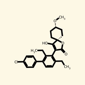 CCc1ccc(-c2ccc(Cl)cc2)c(CC)c1C1=C(O)[C@]2(CC[C@@H](OC)CC2)OC1=O